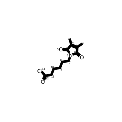 CC1=C(C)C(=O)N(CCCCCC(=O)Cl)C1=O